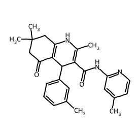 CC1=C(C(=O)Nc2cc(C)ccn2)C(c2cccc(C)c2)C2=C(CC(C)(C)CC2=O)N1